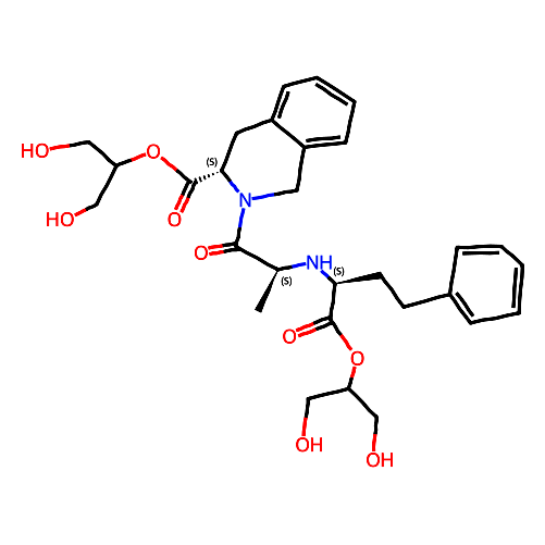 C[C@H](N[C@@H](CCc1ccccc1)C(=O)OC(CO)CO)C(=O)N1Cc2ccccc2C[C@H]1C(=O)OC(CO)CO